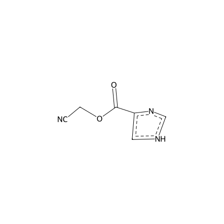 N#CCOC(=O)c1c[nH]cn1